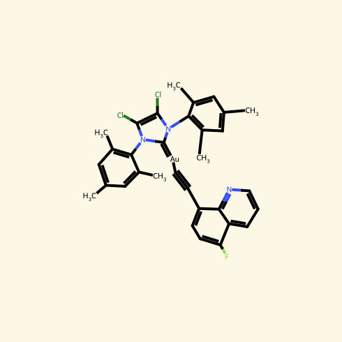 Cc1cc(C)c(-n2c(Cl)c(Cl)n(-c3c(C)cc(C)cc3C)[c]2=[Au][C]#Cc2ccc(F)c3cccnc23)c(C)c1